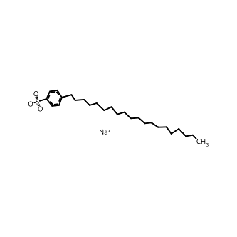 CCCCCCCCCCCCCCCCCCCCc1ccc(S(=O)(=O)[O-])cc1.[Na+]